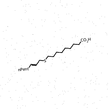 CCCCC/C=C/CSCCCCCCCCC(=O)O